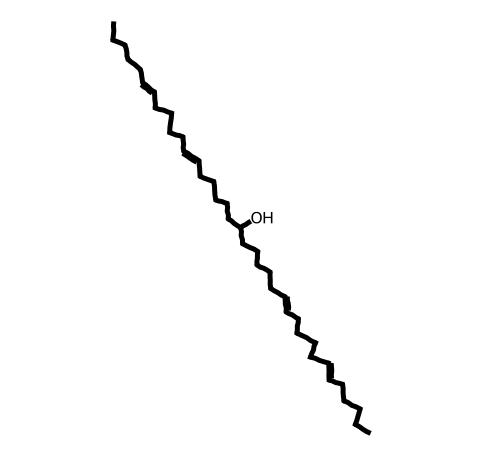 CCCCCC=CCCCCC=CCCCCCC(O)CCCCCC=CCCCCC=CCCCCC